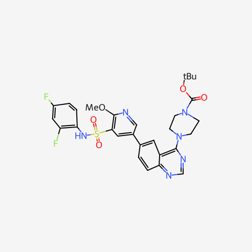 COc1ncc(-c2ccc3ncnc(N4CCN(C(=O)OC(C)(C)C)CC4)c3c2)cc1S(=O)(=O)Nc1ccc(F)cc1F